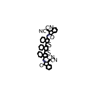 N#CC(C#N)=C1/C(=C/C2=Cc3sc4c(c3C23CCCCC3)C2(CCCCC2)c2c-4sc3c2C2(CCCCC2)C(/C=C2/C(=O)c4ccccc4C2=C(C#N)C#N)=C3)C(=O)c2ccccc21